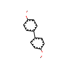 CCCOc1ccc(-c2ccc(OC(F)(F)F)cc2)cc1